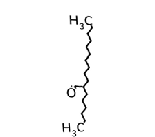 CCCCCCCCCCC([C]=O)CCCCCC